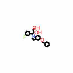 OC[C@@H](O)[C@H](c1cccc(F)c1)n1ccc2cc(OCc3ccccc3)ccc21